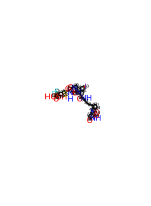 CC(C)(C)C(NC(=O)c1cc2cc(C(F)(F)P(=O)(O)O)ccc2s1)C(=O)N1CCC[C@H]1C(=O)N(CCC(=O)NCCCC#Cc1cccc2c1CN(C1CCC(=O)NC1=O)C2=O)c1ccc(I)cc1